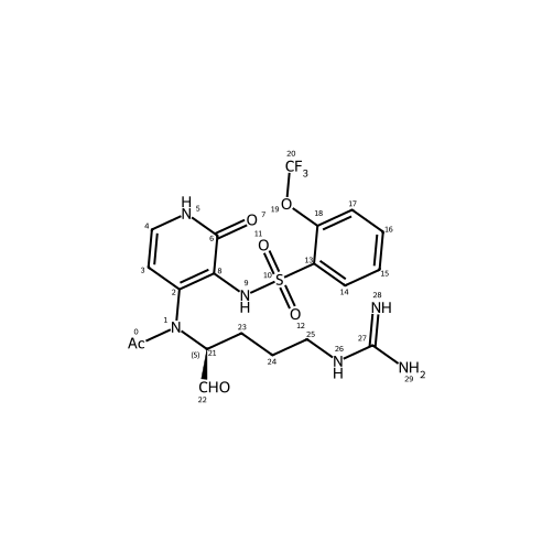 CC(=O)N(c1cc[nH]c(=O)c1NS(=O)(=O)c1ccccc1OC(F)(F)F)[C@H](C=O)CCCNC(=N)N